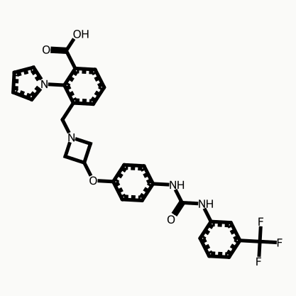 O=C(Nc1ccc(OC2CN(Cc3cccc(C(=O)O)c3-n3cccc3)C2)cc1)Nc1cccc(C(F)(F)F)c1